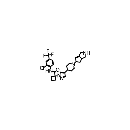 O=C(Nc1ccc(C(F)(F)F)cc1Cl)C1(n2cc(C3CCN(C4C=C5CNCC5C4)CC3)cn2)CCC1